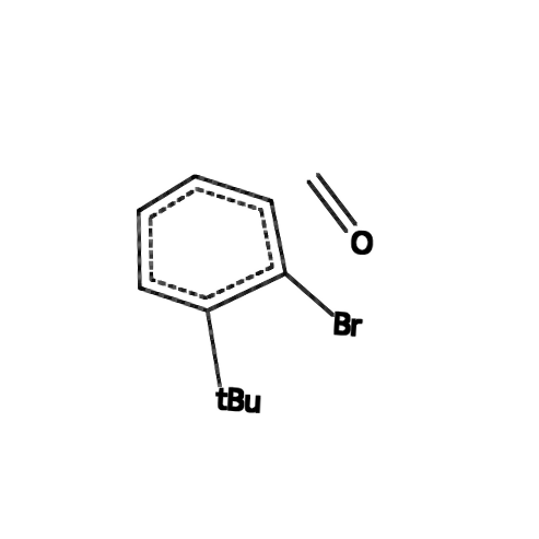 C=O.CC(C)(C)c1ccccc1Br